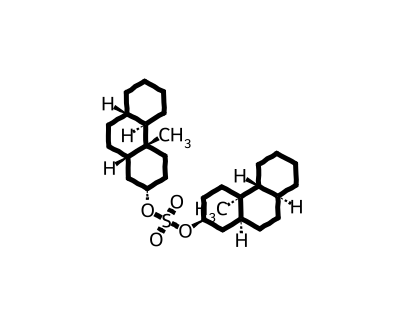 C[C@@]12CC[C@H](OS(=O)(=O)O[C@H]3CC[C@]4(C)[C@@H](CC[C@@H]5CCCC[C@H]54)C3)C[C@@H]1CC[C@@H]1CCCC[C@H]12